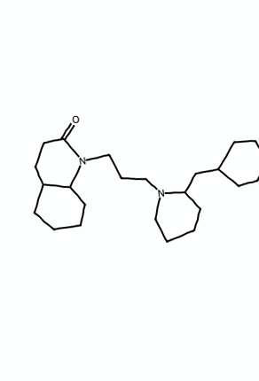 O=C1CCC2CCCCC2N1CCCN1CCCCC1CC1CCCCC1